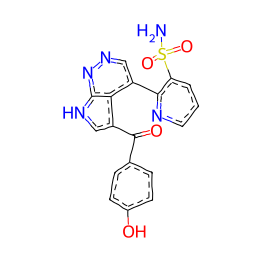 NS(=O)(=O)c1cccnc1-c1cnnc2[nH]cc(C(=O)c3ccc(O)cc3)c12